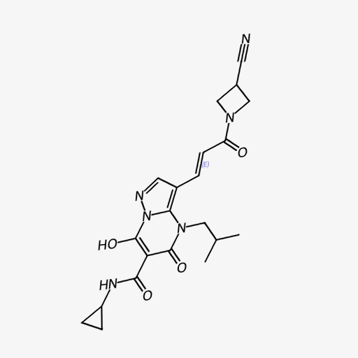 CC(C)Cn1c(=O)c(C(=O)NC2CC2)c(O)n2ncc(/C=C/C(=O)N3CC(C#N)C3)c12